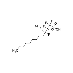 CCCCCCCCCC(F)(F)C(F)(F)C(F)(F)S(=O)(=O)O.N